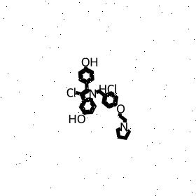 Cl.Oc1ccc(-c2c(Cl)c3cc(O)ccc3n2Cc2ccc(OCCN3CCCC3)cc2)cc1